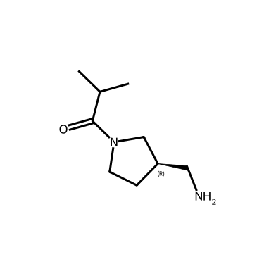 CC(C)C(=O)N1CC[C@H](CN)C1